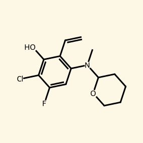 C=Cc1c(N(C)C2CCCCO2)cc(F)c(Cl)c1O